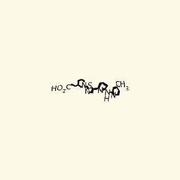 Cc1ccnc(Nc2cccc(-c3cnc(N4CCCC(CCC(=O)O)C4)s3)n2)c1